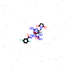 N=C1N[C@H]2[C@H](CN3C(=O)CCC3=O)NC(=N)N3C[C@H](NC(=O)c4cc(F)ccc4F)[C@@H](O)[C@]23N1